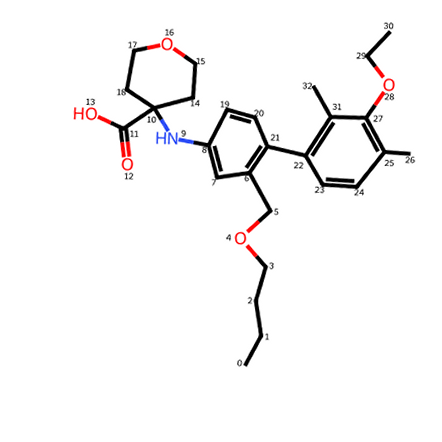 CCCCOCc1cc(NC2(C(=O)O)CCOCC2)ccc1-c1ccc(C)c(OCC)c1C